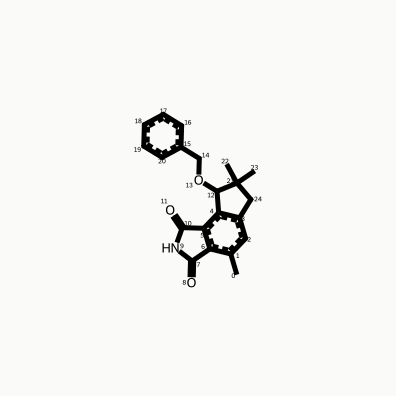 Cc1cc2c(c3c1C(=O)NC3=O)C(OCc1ccccc1)C(C)(C)C2